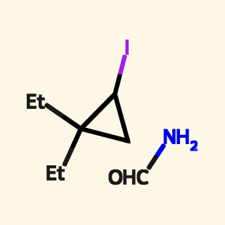 CCC1(CC)CC1I.NC=O